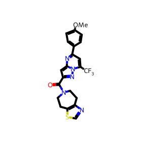 COc1ccc(-c2cc(C(F)(F)F)n3nc(C(=O)N4CCc5ncsc5CC4)cc3n2)cc1